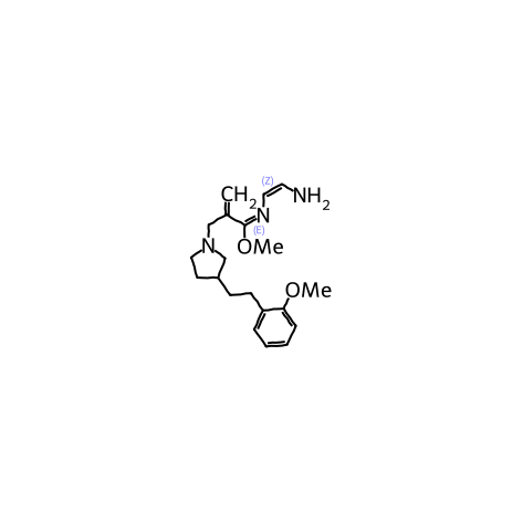 C=C(CN1CCC(CCc2ccccc2OC)C1)/C(=N\C=C/N)OC